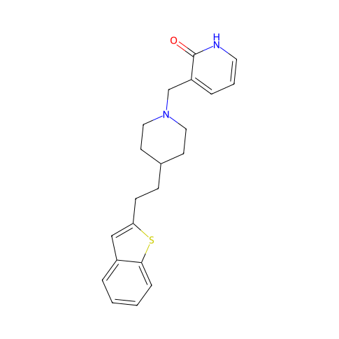 O=c1[nH]cccc1CN1CCC(CCc2cc3ccccc3s2)CC1